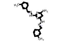 Cc1cccc(/C=N/Nc2cc(N)nc(N/N=C/c3cccc(C)c3)n2)c1